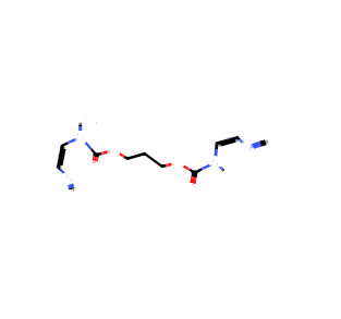 C=N/C=C\N(C)C(=O)OCCCOC(=O)N(C)/C=C\N=C